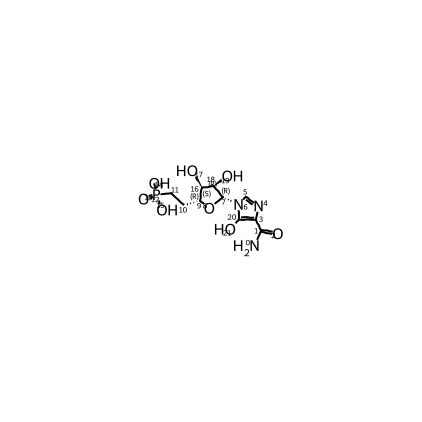 NC(=O)c1ncn([C@@H]2O[C@H](CCP(=O)(O)O)[C@@H](O)[C@H]2O)c1O